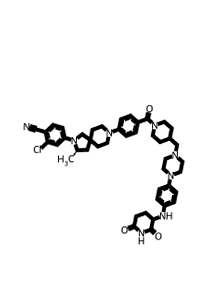 C[C@H]1CC2(CCN(c3ccc(C(=O)N4CCC(CN5CCN(c6ccc(NC7CCC(=O)NC7=O)cc6)CC5)CC4)cc3)CC2)CN1c1ccc(C#N)c(Cl)c1